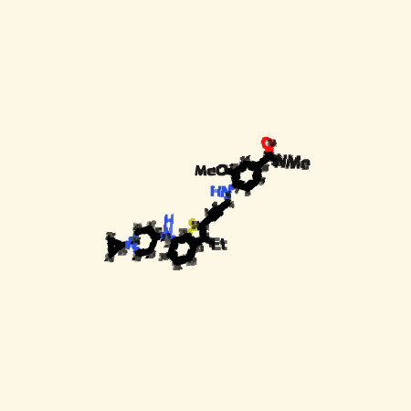 CCc1c(C#CCNc2ccc(C(=O)NC)cc2OC)sc2c(NC3CCN(C4CC4)CC3)cccc12